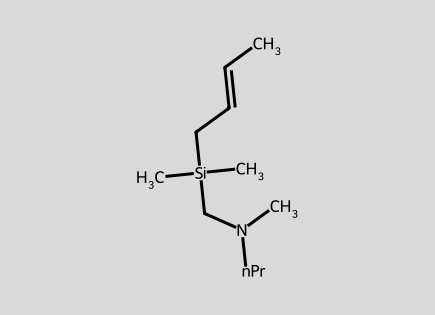 CC=CC[Si](C)(C)CN(C)CCC